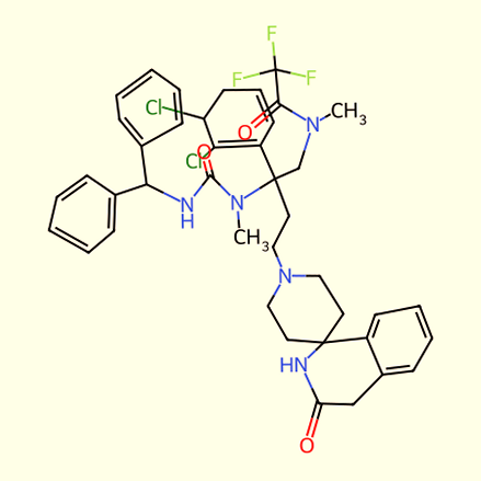 CN(CC(CCN1CCC2(CC1)NC(=O)Cc1ccccc12)(C1=C(Cl)C(Cl)CC=C1)N(C)C(=O)NC(c1ccccc1)c1ccccc1)C(=O)C(F)(F)F